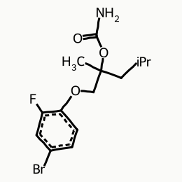 CC(C)CC(C)(COc1ccc(Br)cc1F)OC(N)=O